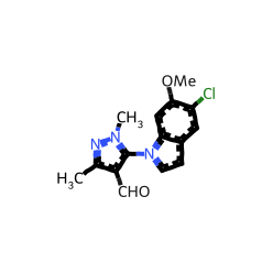 COc1cc2c(ccn2-c2c(C=O)c(C)nn2C)cc1Cl